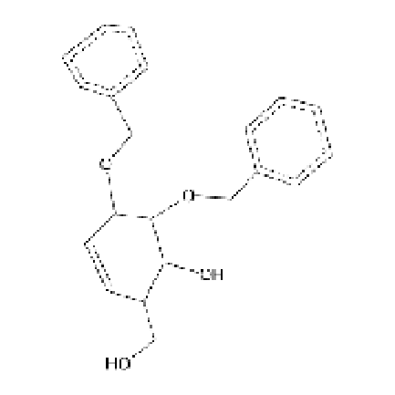 OCC1C=CC(OCc2ccccc2)C(OCc2ccccc2)C1O